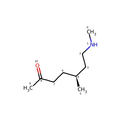 CNCC[C@@H](C)CCC(C)=O